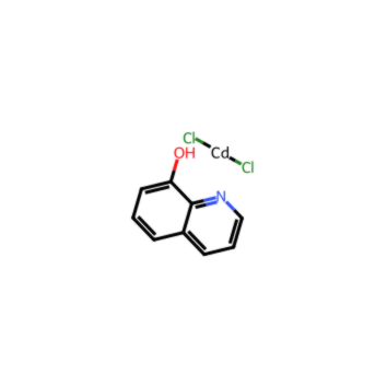 Oc1cccc2cccnc12.[Cl][Cd][Cl]